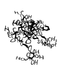 CCCCCCCSSCCNC(=O)C(C)(BCC(C)(CC(C)(CC(C)(CCC)C(=O)O)C(=O)OCCCC)C(=O)OCCN(C)C)CC(C)(CC(C)(CBC(C)(CC)C(=O)OCCOCCO[C@@H]1O[C@H](CO)[C@H](O)[C@H](O)[C@H]1O)C(=O)NCC(C)O)C(=O)OCCSSc1ccccn1